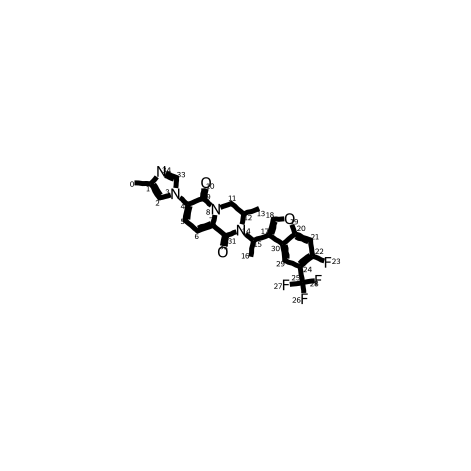 Cc1cn(-c2ccc3n(c2=O)CC(C)N(C(C)c2coc4cc(F)c(C(F)(F)F)cc24)C3=O)cn1